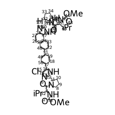 COC(=O)N[C@H](C(=O)N1CCC[C@H]1c1nc(Cl)c(-c2ccc(-c3ccc4c(ccc5nc([C@@H]6[C@H]7CC[C@H](C7)N6C(=O)[C@@H](NC(=O)OC)C(C)C)[nH]c54)c3)cc2)[nH]1)C(C)C